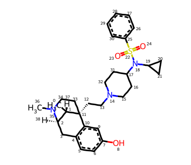 C[C@H]1[C@H]2Cc3ccc(O)cc3[C@]1(CCN1CCC(N(C3CC3)S(=O)(=O)c3ccccc3)CC1)CCN2C